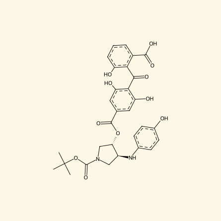 CC(C)(C)OC(=O)N1C[C@H](Nc2ccc(O)cc2)[C@@H](OC(=O)c2cc(O)c(C(=O)c3c(O)cccc3C(=O)O)c(O)c2)C1